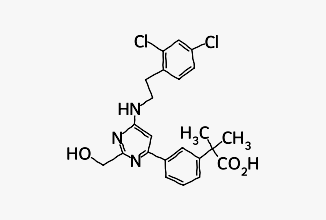 CC(C)(C(=O)O)c1cccc(-c2cc(NCCc3ccc(Cl)cc3Cl)nc(CO)n2)c1